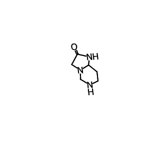 O=C1CN2CNCCC2N1